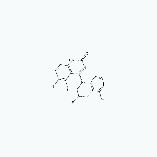 O=c1nc(N(CC(F)F)c2ccnc(Br)c2)c2c(F)c(F)ccc2[nH]1